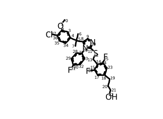 COc1cc(C(C)(C)c2cnc(SCc3c(F)cc(CCCO)cc3F)n2-c2ccc(F)cc2)ccc1Cl